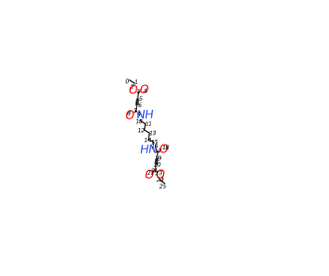 CCOC(=O)C#CC(=O)NCCCCCCNC(=O)C#CC(=O)OCC